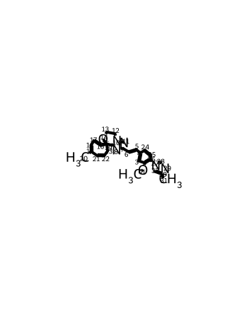 COc1cc(/C=C/c2nc3n(n2)CCOC32/C=C/C=C(C)\C=C/C2)ccc1-n1cnc(C)c1